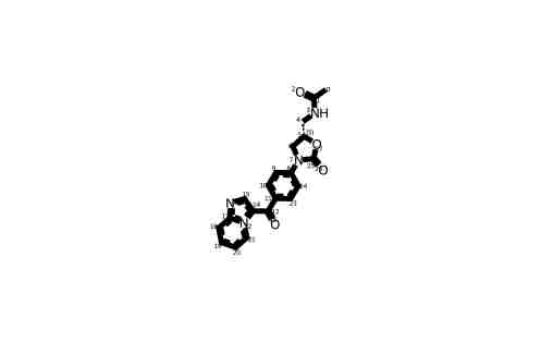 CC(=O)NC[C@H]1CN(c2ccc(C(=O)c3cnc4ccccn34)cc2)C(=O)O1